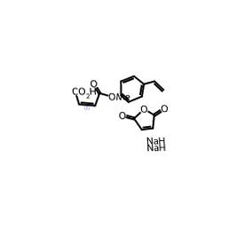 C=Cc1ccccc1.COC(=O)/C=C\C(=O)O.O=C1C=CC(=O)O1.[NaH].[NaH]